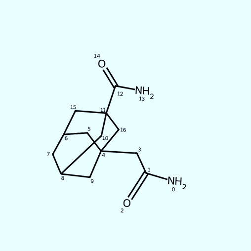 NC(=O)CC12CC3CC(C1)CC(C(N)=O)(C3)C2